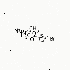 CC(C)(CN=[N+]=[N-])OC(=O)c1ccc(CBr)s1